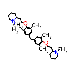 Cc1cc(Cc2cc(C)c(OCCC3CCCCN3C)c(C)c2)cc(C)c1OCCC1CCCCN1C